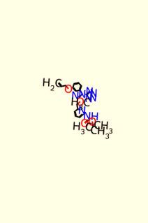 C=CCOc1cccc2c1nc(OCc1cccc(NC(=O)OC(C)(C)C)n1)n2-c1nnnn1C